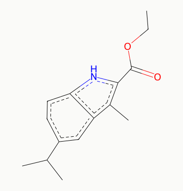 CCOC(=O)c1[nH]c2ccc(C(C)C)cc2c1C